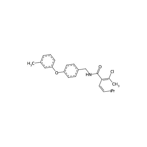 C/C(Cl)=C(\C=C/C(C)C)C(=O)NCc1ccc(Oc2cccc(C)c2)cc1